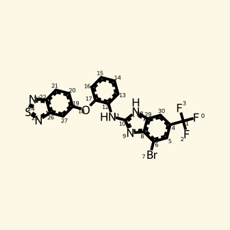 FC(F)(F)c1cc(Br)c2nc(Nc3ccccc3Oc3ccc4nsnc4c3)[nH]c2c1